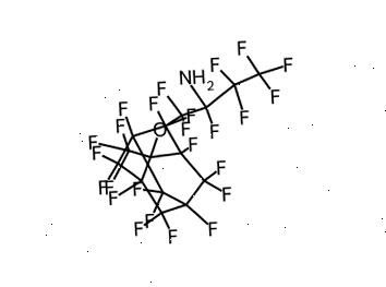 NC(F)(C(F)(F)OC1(C(F)(F)F)C2(F)C(F)(F)C3(F)C(F)(F)C(F)(C2(F)F)C(F)(F)C1(F)C3(F)F)C(F)(F)C(F)(F)F